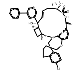 C[C@@H]1[C@@H](C)C/C=C/[C@](O)(c2cncc(-c3ccccc3)c2)[C@@H]2CC[C@H]2CN2C[C@@]3(CCCc4cc(Cl)ccc43)COc3ccc(cc32)C(=O)NS1(=O)=O